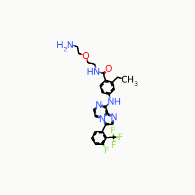 CCc1cc(Nc2nccn3c(-c4cccc(F)c4C(F)(F)F)cnc23)ccc1C(=O)NCCOCCN